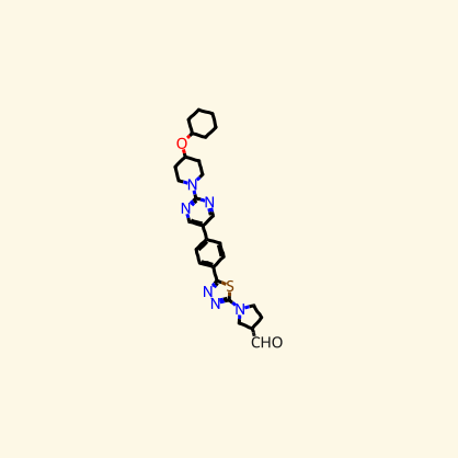 O=CC1CCN(c2nnc(-c3ccc(-c4cnc(N5CCC(OC6CCCCC6)CC5)nc4)cc3)s2)C1